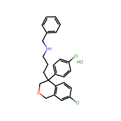 Cl.Clc1ccc(C2(CCCNCc3ccccc3)COCc3cc(Cl)ccc32)cc1